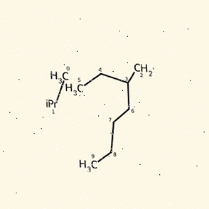 CC(C)C.[CH2]C(CC)CCCC